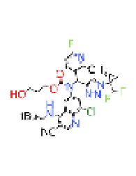 Cc1nc(F)ccc1C(c1cn(C2(C(F)F)CC2)nn1)N(C(=O)OCCCO)c1cc(Cl)c2ncc(C#N)c(NCC(C)(C)C)c2c1